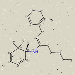 CCCCC/C(=C\CC1=C(C)CCC=C1)N[C@]1(C)C=CC=CC1(C)C